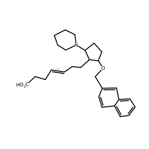 O=C(O)CC/C=C/CCC1C(OCc2ccc3ccccc3c2)CCC1N1CCCCC1